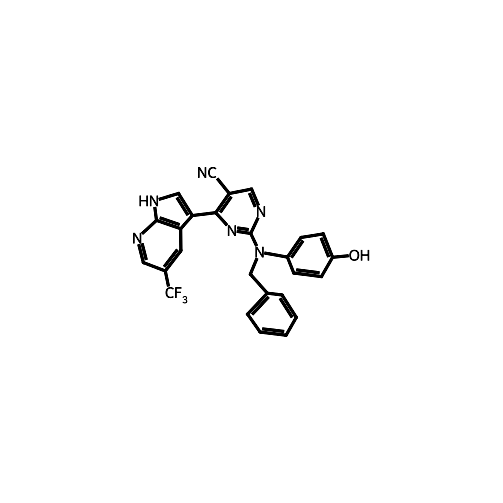 N#Cc1cnc(N(Cc2ccccc2)c2ccc(O)cc2)nc1-c1c[nH]c2ncc(C(F)(F)F)cc12